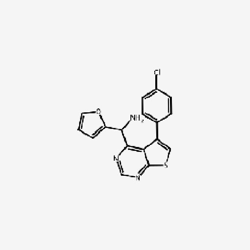 NC(c1ccco1)c1ncnc2scc(-c3ccc(Cl)cc3)c12